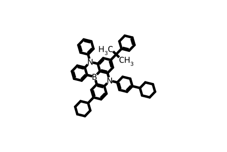 CC(C)(C1=CC=CCC1)c1cc2c3c(c1)N(c1ccccc1)c1ccccc1B3c1cc(C3CCCCC3)ccc1N2C1=CC=C(C2CCCCC2)CC1